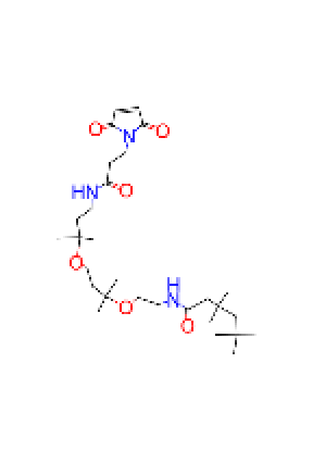 CC(C)(C)CC(C)(C)CC(=O)NCCOC(C)(C)CCOC(C)(C)CCNC(=O)CCN1C(=O)C=CC1=O